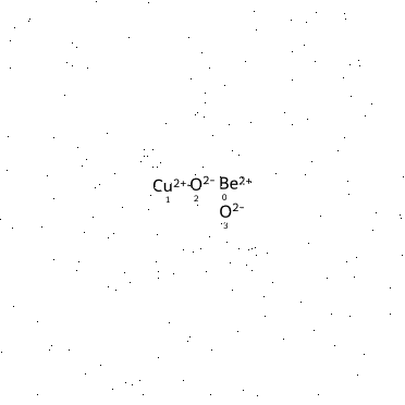 [Be+2].[Cu+2].[O-2].[O-2]